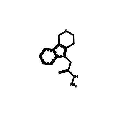 NNC(=O)Cn1c2c(c3ccccc31)CSCC2